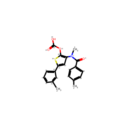 Cc1ccc(C(=O)N(C)c2cc(-c3cccc(C)c3)sc2OC(=O)O)cc1